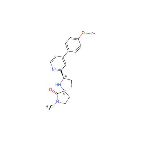 CC(C)Oc1ccc(-c2ccnc([C@H]3CC[C@@]4(CCN(C)C4=O)N3)c2)cc1